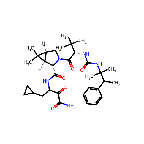 CC(c1ccccc1)C(C)(C)NC(=O)N[C@H](C(=O)N1C[C@H]2[C@@H]([C@H]1C(=O)NC(CC1CC1)C(=O)C(N)=O)C2(C)C)C(C)(C)C